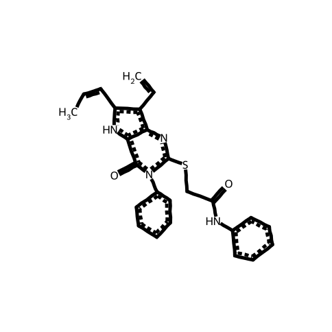 C=Cc1c(/C=C\C)[nH]c2c(=O)n(-c3ccccc3)c(SCC(=O)Nc3ccccc3)nc12